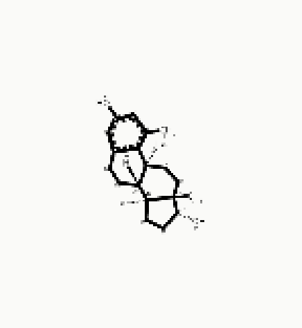 [CH2]c1cc(O)cc2c1[C@H]1CC[C@]3(C)[C@H](O)CC[C@H]3[C@@H]1CC2